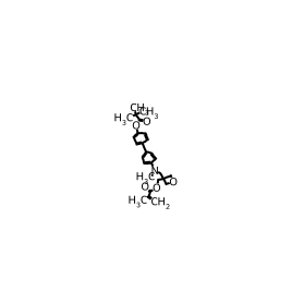 C=C(C)C(=O)OCC1(CN(C)c2ccc(-c3ccc(OC(=O)C(C)(C)C)cc3)cc2)COC1